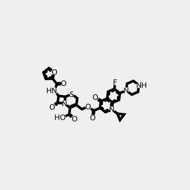 O=C(O)C1=C(COC(=O)c2cn(C3CC3)c3cc(N4CCNCC4)c(F)cc3c2=O)CSC2C(NC(=O)c3ccco3)C(=O)N12